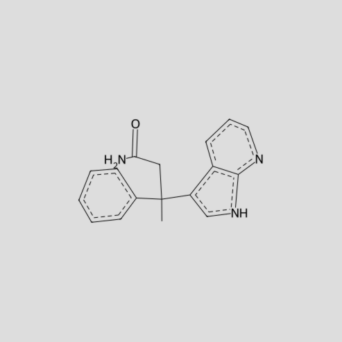 CC(CC(N)=O)(c1ccccc1)c1c[nH]c2ncccc12